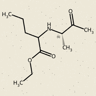 CCCC(N[C@@H](C)C(C)=O)C(=O)OCC